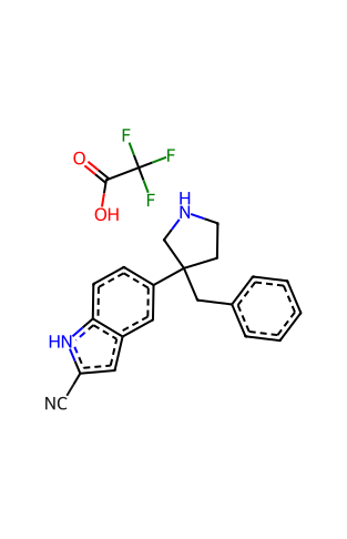 N#Cc1cc2cc(C3(Cc4ccccc4)CCNC3)ccc2[nH]1.O=C(O)C(F)(F)F